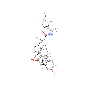 CC[C@H](NC(=O)C[C@@H](C)C1CC[C@H]2[C@@H]3C(=O)C[C@@H]4CC(=O)CC[C@]4(C)[C@H]3CC[C@]12C)c1ccc(Cl)s1